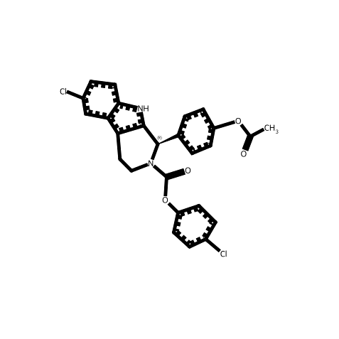 CC(=O)Oc1ccc([C@@H]2c3[nH]c4ccc(Cl)cc4c3CCN2C(=O)Oc2ccc(Cl)cc2)cc1